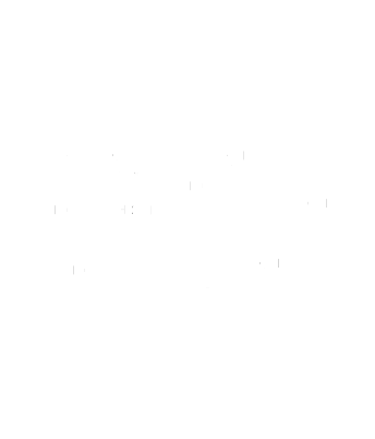 CCCCCCCCCCCC(=O)O.O=P(O)(O)O.OCC(O)C(O)C(O)C(O)CO